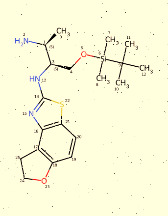 C[C@H](N)[C@@H](CO[Si](C)(C)C(C)(C)C)Nc1nc2c3c(ccc2s1)OCC3